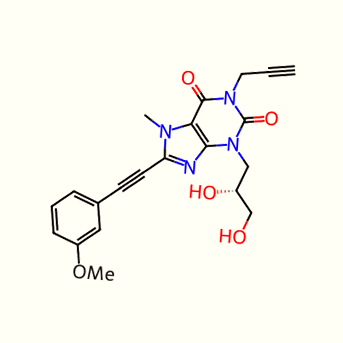 C#CCn1c(=O)c2c(nc(C#Cc3cccc(OC)c3)n2C)n(C[C@@H](O)CO)c1=O